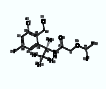 [2H]C([2H])([2H])[C@]([2H])(NC(=O)COC(F)F)c1cc(F)cc(Cl)c1CCl